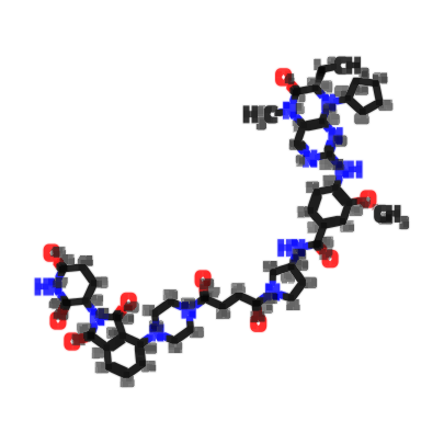 CC[C@@H]1C(=O)N(C)c2cnc(Nc3ccc(C(=O)N[C@H]4CCN(C(=O)CCC(=O)N5CCN(c6cccc7c6C(=O)N(C6CCC(=O)NC6=O)C7=O)CC5)C4)cc3OC)nc2N1C1CCCC1